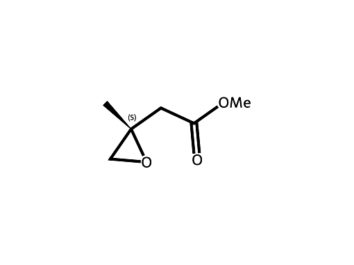 COC(=O)C[C@@]1(C)CO1